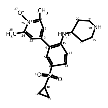 Cc1cc(-c2cc(S(=O)(=O)C3CC3)ccc2NC2CCNCC2)cc(C)[n+]1[O-]